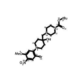 COc1cc(N2CCC(O)(CN3CCN(C(=O)OC(C)(C)C)CC3)CC2)c(Br)cc1[N+](=O)[O-]